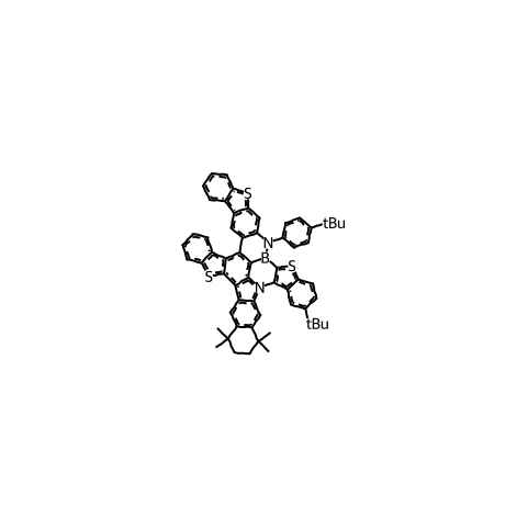 CC(C)(C)c1ccc(N2B3c4sc5ccc(C(C)(C)C)cc5c4-n4c5cc6c(cc5c5c7sc8ccccc8c7c(c3c54)-c3cc4c(cc32)sc2ccccc24)C(C)(C)CCC6(C)C)cc1